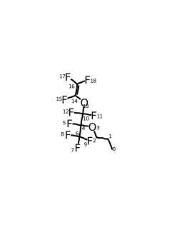 CCCOC(F)(C(F)(F)F)C(F)(F)OC(F)=C(F)F